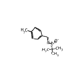 Cc1ccc(C=N[S@@+]([O-])C(C)(C)C)cc1